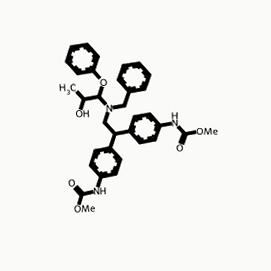 COC(=O)Nc1ccc(C(CN(Cc2ccccc2)C(Oc2ccccc2)C(C)O)c2ccc(NC(=O)OC)cc2)cc1